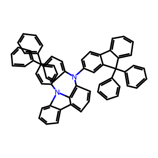 c1ccc(-c2ccc(N(c3ccc4c(c3)C(c3ccccc3)(c3ccccc3)c3ccccc3-4)c3cccc4c5ccccc5n(-c5ccc(-c6ccccc6)cc5)c34)cc2)cc1